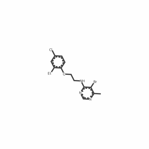 CCc1cc(Cl)ccc1OCCNc1ncnc(C)c1Br